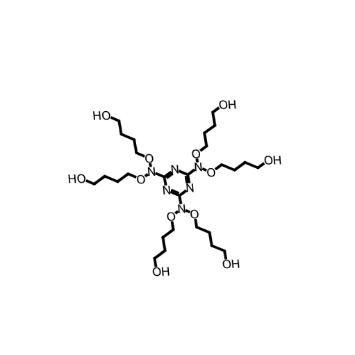 OCCCCON(OCCCCO)c1nc(N(OCCCCO)OCCCCO)nc(N(OCCCCO)OCCCCO)n1